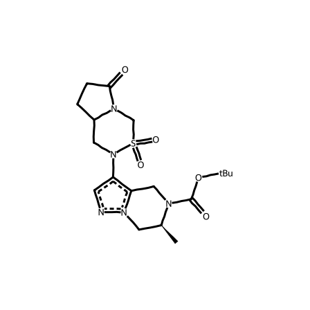 C[C@H]1Cn2ncc(N3CC4CCC(=O)N4CS3(=O)=O)c2CN1C(=O)OC(C)(C)C